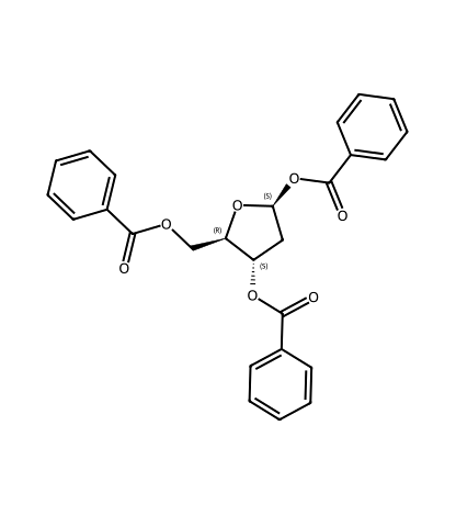 O=C(OC[C@H]1O[C@@H](OC(=O)c2ccccc2)C[C@@H]1OC(=O)c1ccccc1)c1ccccc1